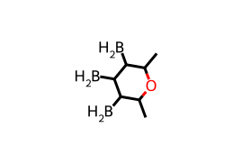 BC1C(C)OC(C)C(B)C1B